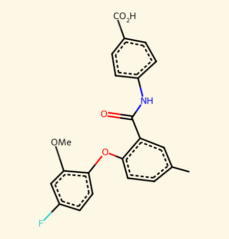 COc1cc(F)ccc1Oc1ccc(C)cc1C(=O)Nc1ccc(C(=O)O)cc1